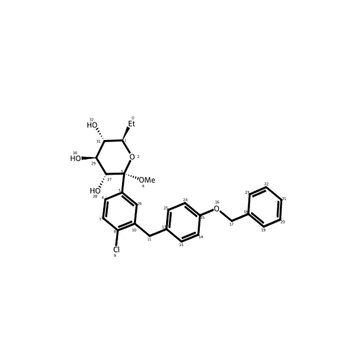 CC[C@H]1O[C@@](OC)(c2ccc(Cl)c(Cc3ccc(OCc4ccccc4)cc3)c2)[C@H](O)[C@@H](O)[C@@H]1O